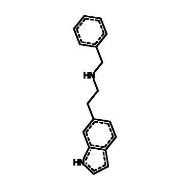 c1ccc(CNCCc2ccc3cc[nH]c3c2)cc1